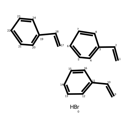 Br.C=Cc1ccccc1.C=Cc1ccccc1.C=Cc1ccccc1